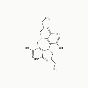 CCCC[C@H]1CC(C(=O)O)=C(C(=O)O)[C@@H](CCCC)C(C(=O)O)=C1C(=O)O